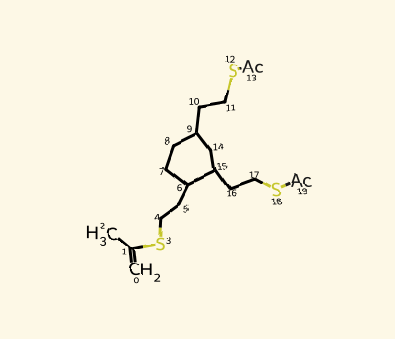 C=C(C)SCCC1CCC(CCSC(C)=O)CC1CCSC(C)=O